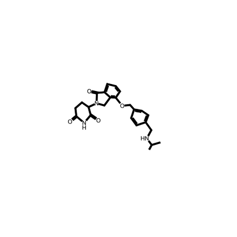 CC(C)NCc1ccc(COc2cccc3c2CN(C2CCC(=O)NC2=O)C3=O)cc1